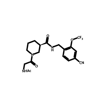 CC(=O)NCC(=O)N1CCC[C@@H](C(=O)NCc2ccc(C#N)cc2OC(F)(F)F)C1